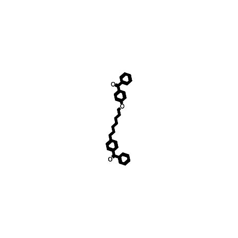 O=C(c1ccccc1)c1ccc(CCCCCCCOc2ccc(C(=O)c3ccccc3)cc2)cc1